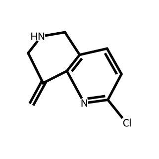 C=C1CNCc2ccc(Cl)nc21